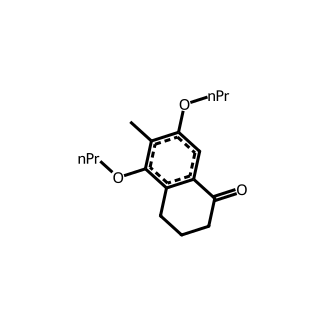 CCCOc1cc2c(c(OCCC)c1C)CCCC2=O